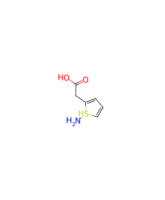 N[SH]1C=CC=C1CC(=O)O